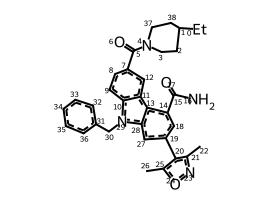 CCC1CCN(C(=O)c2ccc3c(c2)c2c(C(N)=O)cc(-c4c(C)noc4C)cc2n3Cc2ccccc2)CC1